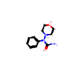 NC(=O)N(c1cc[c]cc1)N1CCOCC1